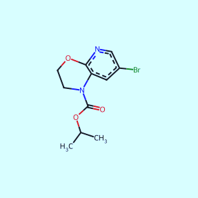 CC(C)OC(=O)N1CCOc2ncc(Br)cc21